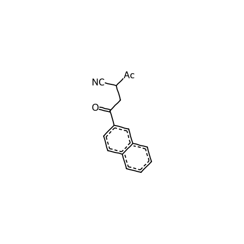 CC(=O)C(C#N)CC(=O)c1ccc2ccccc2c1